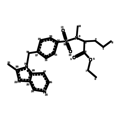 CCCC(C(=O)OCC)N(C)S(=O)(=O)c1ccc(Cn2c(C)nc3cnccc32)cc1